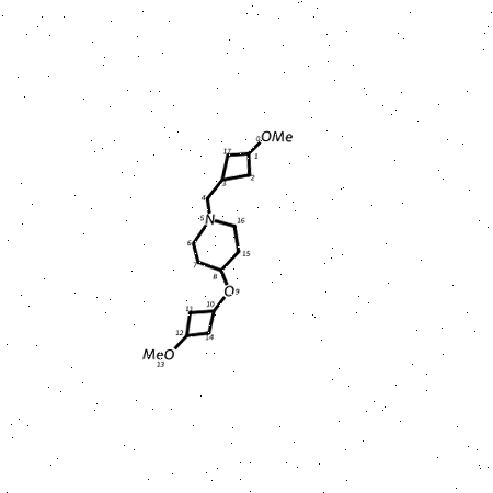 COC1CC(CN2CCC(OC3CC(OC)C3)CC2)C1